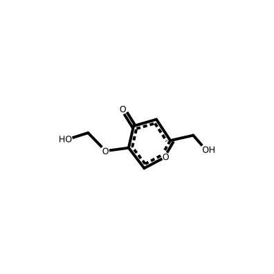 O=c1cc(CO)occ1OCO